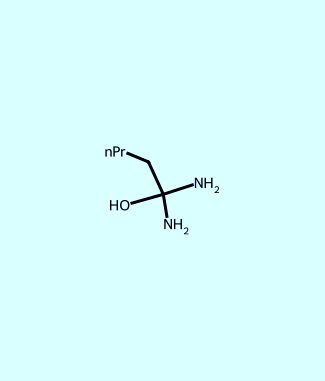 CCCCC(N)(N)O